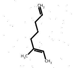 C=CCC[CH]C(C)=CC